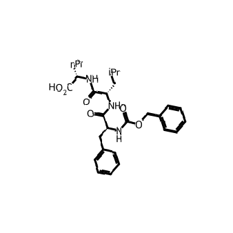 CCC[C@H](NC(=O)[C@H](CC(C)C)NC(=O)[C@H](Cc1ccccc1)NC(=O)OCc1ccccc1)C(=O)O